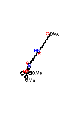 COC(=O)CCCCCCCCCCCNC(=O)CCCCCCCCC(=O)N1C[C@](C)(COC(c2ccccc2)(c2ccc(OC)cc2)c2ccc(OC)cc2)[C@](C)(CO)C1